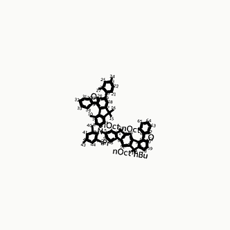 CCCCCCCCC1(CCCCCCCC)c2cc(N(c3cc(C)c4c(c3)C(C)(C)c3cc(-c5ccc(C)cc5C)c5oc6ccccc6c5c3-4)c3c(C)cc(C)cc3C(C)C)ccc2-c2cc3c(cc21)-c1c(ccc2oc4ccccc4c12)C3(CCCC)CCCCCCCC